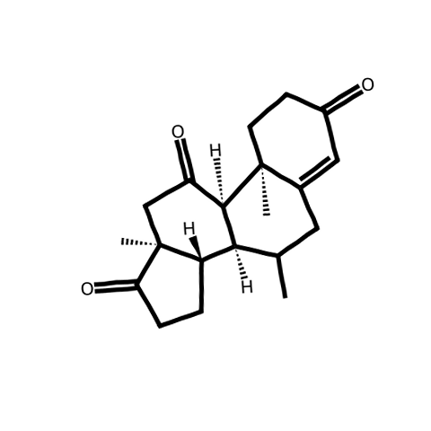 CC1CC2=CC(=O)CC[C@]2(C)[C@@H]2C(=O)C[C@]3(C)C(=O)CC[C@H]3[C@H]12